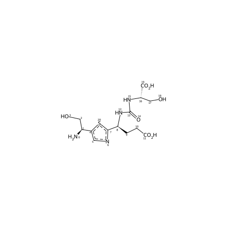 N[C@@H](CO)c1cnc([C@H](CCC(=O)O)NC(=O)N[C@@H](CO)C(=O)O)s1